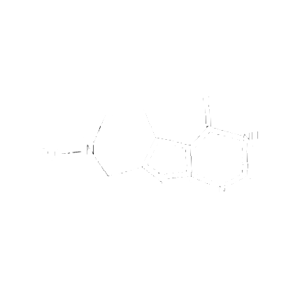 CCOC(=O)N(C)Cc1sc2nc[nH]c(=O)c2c1C